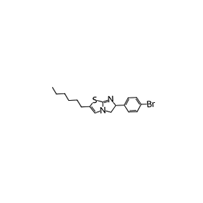 CCCCCCC1=CN2CC(c3ccc(Br)cc3)N=C2S1